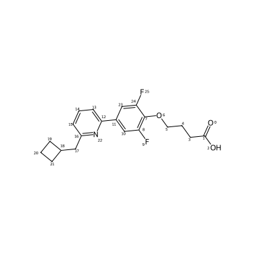 O=C(O)CCCOc1c(F)cc(-c2cccc(CC3CCC3)n2)cc1F